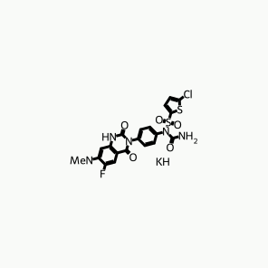 CNc1cc2[nH]c(=O)n(-c3ccc(N(C(N)=O)S(=O)(=O)c4ccc(Cl)s4)cc3)c(=O)c2cc1F.[KH]